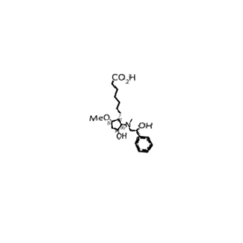 CO[C@H]1C[C@@H](O)[C@H](N(C)CC(O)c2ccccc2)[C@H]1CCCCCCC(=O)O